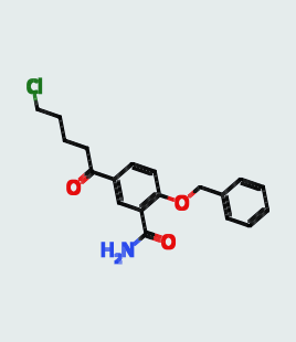 NC(=O)c1cc(C(=O)CCCCCl)ccc1OCc1ccccc1